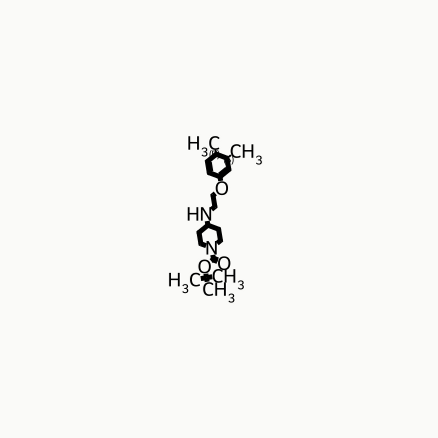 C[C@@H]1C=C(OCCNC2CCN(C(=O)OC(C)(C)C)CC2)C=C[C@@H]1C